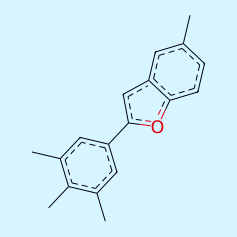 Cc1ccc2oc(-c3cc(C)c(C)c(C)c3)cc2c1